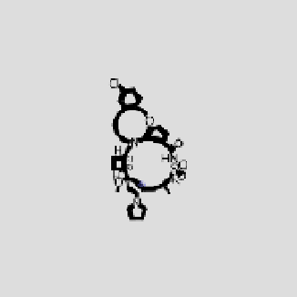 CO[C@@]1(CCN2CCCC2)/C=C/C[C@H](C)[C@@H](C)S(=O)(=O)NC(=O)c2ccc3c(c2)N(CCCCc2cc(Cl)ccc2CO3)C[C@@H]2CC[C@H]21